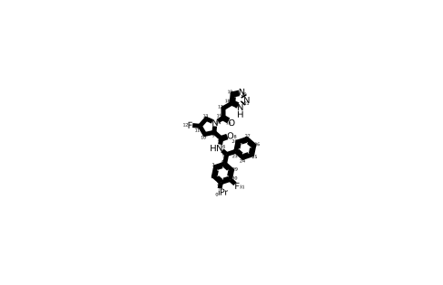 CC(C)c1ccc(C(NC(=O)C2CC(F)CN2C(=O)Cc2cnn[nH]2)c2ccccc2)cc1F